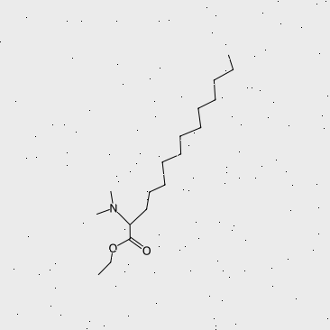 CCCCCCCCCCCCC(C(=O)OCC)N(C)C